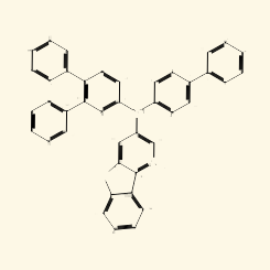 c1ccc(-c2ccc(N(c3ccc(-c4ccccc4)c(-c4ccccc4)c3)c3cnc4c(c3)oc3ccccc34)cc2)cc1